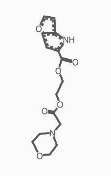 O=C(CN1CCOCC1)OCCOC(=O)c1cc2occc2[nH]1